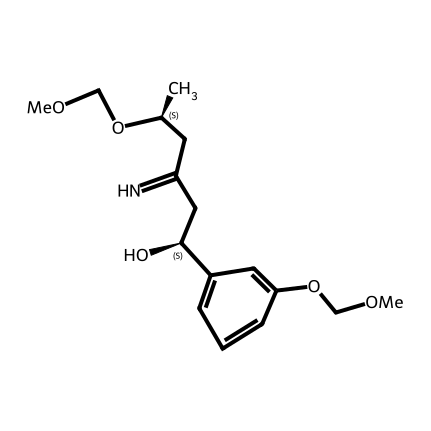 COCOc1cccc([C@@H](O)CC(=N)C[C@H](C)OCOC)c1